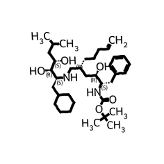 C=CCCC[C@@H](CN[C@@H](CC1CCCCC1)[C@@H](O)[C@@H](O)CC(C)C)C[C@@H](O)[C@H](Cc1ccccc1)NC(=O)OC(C)(C)C